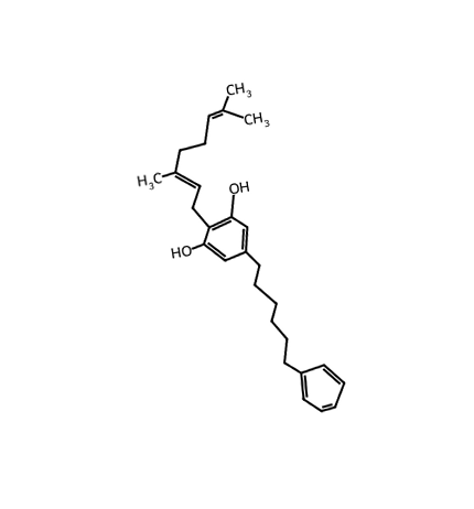 CC(C)=CCC/C(C)=C/Cc1c(O)cc(CCCCCCc2ccccc2)cc1O